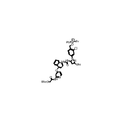 COCC(=O)Nc1cc(Oc2ccc(NC(=O)Nc3cc(C(C)(C)C)nn3-c3ccc(CO[Si](C(C)C)(C(C)C)C(C)C)c(Cl)c3)c3ccccc23)ccn1